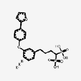 O=P(O)(O)C(CCCc1cccc(Oc2ccc(-c3ccco3)cc2)c1)S(=O)(=O)O.[K].[K].[K]